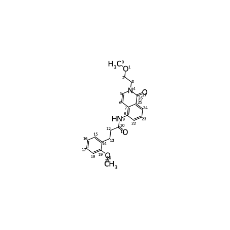 COCCn1ccc2c(NC(=O)CCc3ccccc3OC)cccc2c1=O